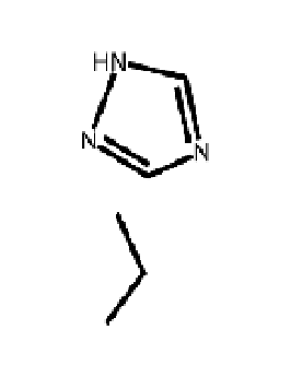 CCC.c1nc[nH]n1